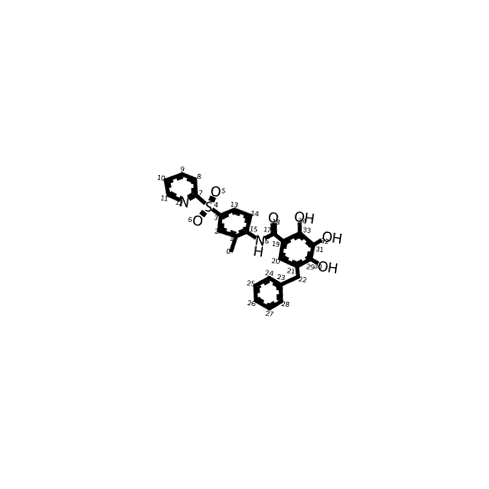 Cc1cc(S(=O)(=O)c2ccccn2)ccc1NC(=O)c1cc(Cc2ccccc2)c(O)c(O)c1O